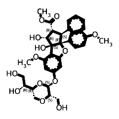 COC(=O)[C@H]1[C@@H](O)[C@@]2(O)c3c(OC)cc(O[C@@H]4O[C@@H]([C@H](O)CO)CO[C@H]4CO)cc3O[C@@]2(c2ccc(OC)cc2)[C@@H]1c1ccccc1